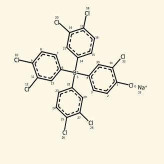 Clc1ccc([B-](c2ccc(Cl)c(Cl)c2)(c2ccc(Cl)c(Cl)c2)c2ccc(Cl)c(Cl)c2)cc1Cl.[Na+]